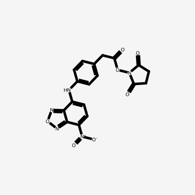 O=C(Cc1ccc(Nc2ccc([N+](=O)[O-])c3nonc23)cc1)ON1C(=O)CCC1=O